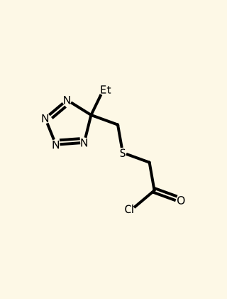 CCC1(CSCC(=O)Cl)N=NN=N1